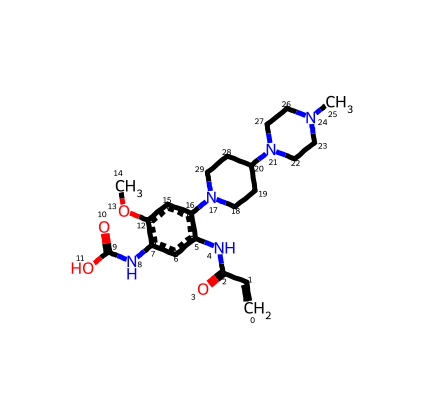 C=CC(=O)Nc1cc(NC(=O)O)c(OC)cc1N1CCC(N2CCN(C)CC2)CC1